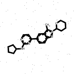 Cc1c2cc(-c3ccnc(NC4CCCC4)n3)ccc2nn1C1CCCCO1